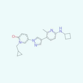 Cc1nc(NC2CCC2)ccc1-c1cnn(-c2ccc(=O)n(CC3CC3)c2)c1